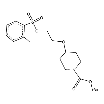 Cc1ccccc1S(=O)(=O)OCCOC1CCN(C(=O)OC(C)(C)C)CC1